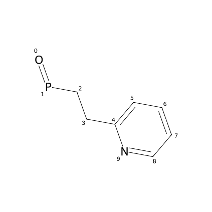 O=PCCc1ccccn1